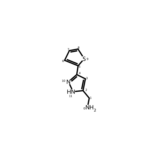 NCc1cc(-c2cccs2)n[nH]1